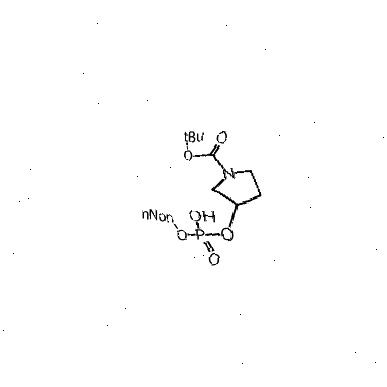 CCCCCCCCCOP(=O)(O)OC1CCN(C(=O)OC(C)(C)C)C1